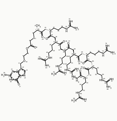 C[C@@H](CSCC(=O)OCCOCn1cnc2c(=O)[nH]c(N)nc21)C(=O)C[C@H](CCCNC(=N)N)C(=O)C[C@H](CCCNC(=N)N)C(=O)C[C@H](CCCNC(=N)N)C(=O)C[C@H](CCCNC(=N)N)C(=O)C[C@H](CCCNC(=N)N)C(=O)C[C@H](CCCNC(=N)N)C(=O)C[C@H](CCCNC(=N)N)C(N)=O